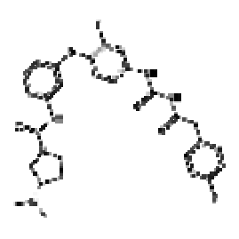 CN(C)[C@H]1CCN(C(=O)Nc2cc(Oc3ccc(NC(=O)NC(=O)Cc4ccc(F)cc4)cc3F)ccn2)C1